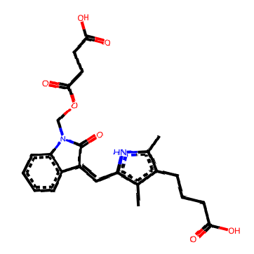 Cc1[nH]c(C=C2C(=O)N(COC(=O)CCC(=O)O)c3ccccc32)c(C)c1CCCC(=O)O